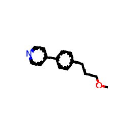 COCCCc1ccc(-c2ccncc2)cc1